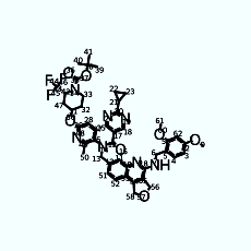 COc1ccc(CNc2nc3cc(CN(C(=O)c4cnc(C5CC5)nc4)c4ccc(O[C@@H]5CCN(C(=O)OC(C)(C)C)[C@@H](C(F)(F)F)C5)nc4C)ccc3c3c2COC3)c(OC)c1